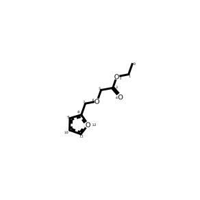 CCOC(=O)COCc1ccco1